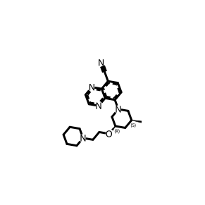 C[C@H]1C[C@@H](OCCN2CCCCC2)CN(c2ccc(C#N)c3nccnc23)C1